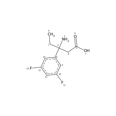 CCC(N)(CC(=O)O)c1cc(F)cc(F)c1